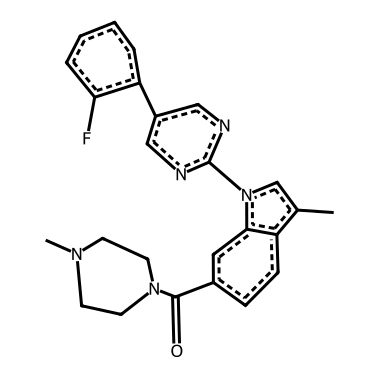 Cc1cn(-c2ncc(-c3ccccc3F)cn2)c2cc(C(=O)N3CCN(C)CC3)ccc12